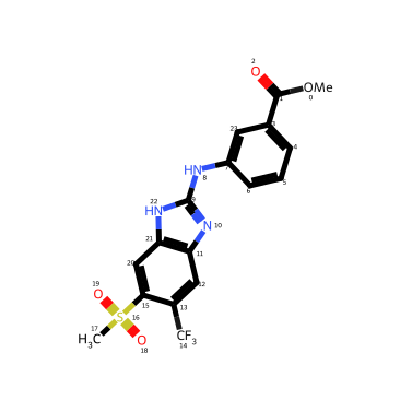 COC(=O)c1cccc(Nc2nc3cc(C(F)(F)F)c(S(C)(=O)=O)cc3[nH]2)c1